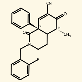 C[C@H]1C(=O)C(C#N)=C[C@@]2(c3ccccc3)C(=O)N(Cc3ccccc3F)CCC12